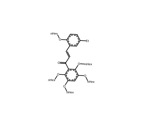 CCCCCCOc1ccc(CC)cc1C=CC(=O)c1c(OCCCCCC)c(OCCCCCC)cc(OCCCCCC)c1OCCCCCC